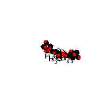 CC(C)c1c(C(C)C)c2c3cc4ccc(N(c5ccccc5)c5cccc6c5oc5c(-c7ccccc7)cccc56)cc4cc3oc2c2oc3cc4cc(N(c5ccccc5)c5cccc6c5oc5c(-c7ccccc7)cccc56)ccc4cc3c12